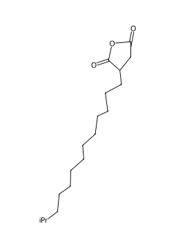 CC(C)CCCCCCCCCCCC1CC(=O)OC1=O